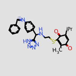 CC1=C(SCCNC(c2ccc(/N=C\c3ccccc3)cc2)c2nnn[nH]2)C(=O)C(C(C)C)=CC1=O